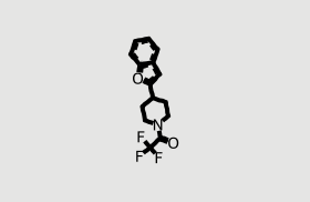 O=C(N1CCC(c2cc3ccccc3o2)CC1)C(F)(F)F